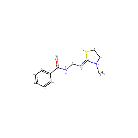 CN1CCSC1=NCNC(=O)c1ccccc1